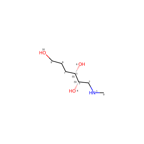 CNC[C@H](O)[C@@H](O)CCCO